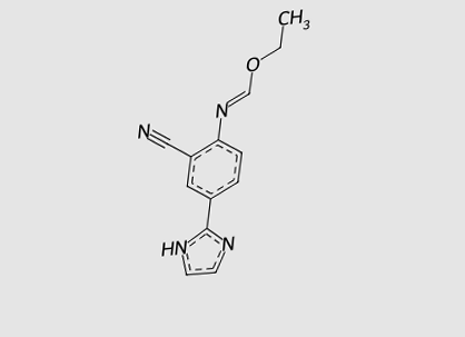 CCOC=Nc1ccc(-c2ncc[nH]2)cc1C#N